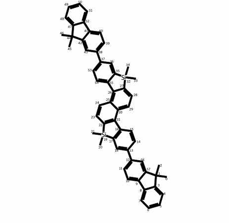 CC1(C)c2ccccc2-c2ccc(-c3ccc4c(c3)[Si](C)(C)c3ccc5c6c(ccc5c3-4)[Si](C)(C)c3cc(-c4ccc5c(c4)C(C)(C)c4ccccc4-5)ccc3-6)cc21